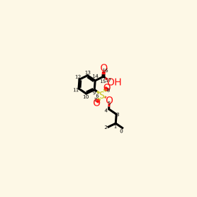 CC(C)CCOS(=O)(=O)c1ccccc1C(=O)O